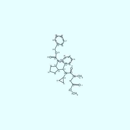 COC(=O)CN(C)C(=O)N(C1CC1)C1c2ccccc2N(C(=O)OCc2ccccc2)C2CCCC21